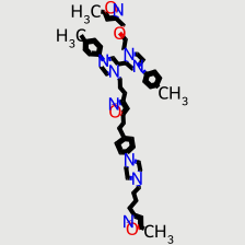 Cc1ccc(N2CCN(CCCc3cc(CCc4ccc(N5CCN(CCCCc6cc(C)on6)CC5)cc4)on3)C(C3CN(c4ccc(C)cc4)CCN3CCOCc3cc(C)on3)C2)cc1